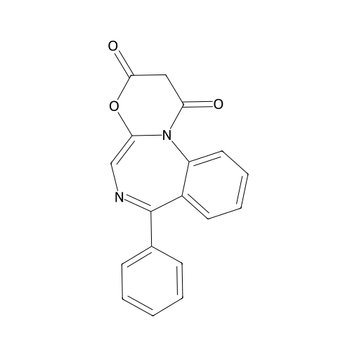 O=C1CC(=O)N2C(=CN=C(c3ccccc3)c3ccccc32)O1